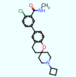 CNC(=O)c1cc(-c2ccc3c(c2)CCC2(CCN(C4CCC4)CC2)O3)ccc1Cl